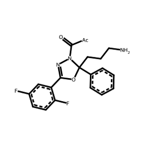 CC(=O)C(=O)N1N=C(c2cc(F)ccc2F)OC1(CCCN)c1ccccc1